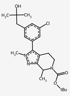 CC1c2nn(C)c(-c3cc(Cl)cc(CC(C)(C)O)c3)c2CCN1C(=O)OC(C)(C)C